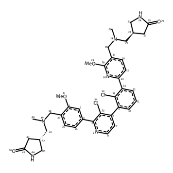 COc1cc(-c2nccc(-c3cccc(-c4ccc(CN(C)C[C@H]5CNC(=O)C5)c(OC)n4)c3Cl)c2Cl)ccc1CN(C)C[C@@H]1CNC(=O)C1